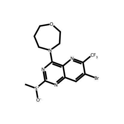 C[S+]([O-])c1nc(N2CCCOCC2)c2nc(C(F)(F)F)c(Br)cc2n1